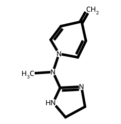 C=C1C=CN(N(C)C2=NCCN2)C=C1